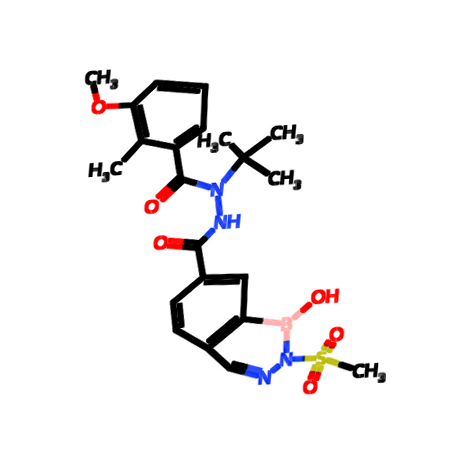 COc1cccc(C(=O)N(NC(=O)c2ccc3c(c2)B(O)N(S(C)(=O)=O)N=C3)C(C)(C)C)c1C